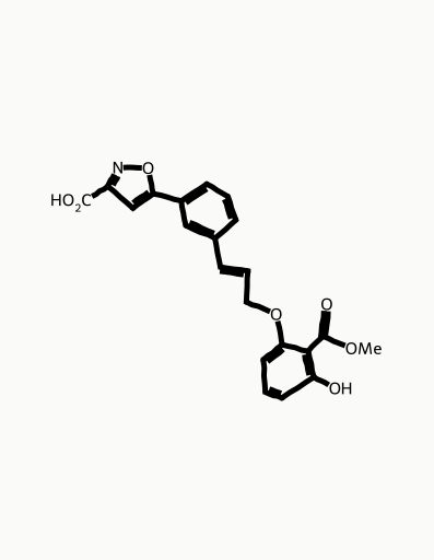 COC(=O)c1c(O)cccc1OCC=Cc1cccc(-c2cc(C(=O)O)no2)c1